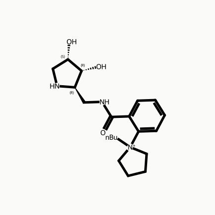 CCCC[N+]1(c2ccccc2C(=O)NC[C@H]2NC[C@H](O)[C@@H]2O)CCCC1